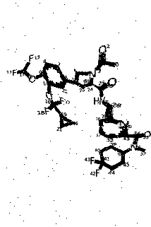 CC(=O)N1CC(c2ccc(OC(F)F)c(OC(F)(F)C3CC3)c2)C[C@@H]1C(=O)NCc1cccc(C(=O)N(C)C2CCC(F)(F)CC2)n1